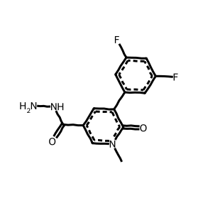 Cn1cc(C(=O)NN)cc(-c2cc(F)cc(F)c2)c1=O